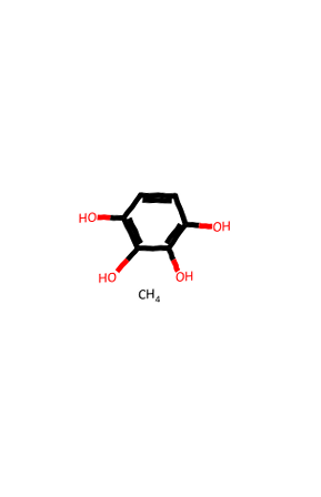 C.Oc1ccc(O)c(O)c1O